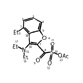 CCc1cccc2oc(C(=O)S(=O)(=O)OC(C)=O)c(N(CC)CC)c12